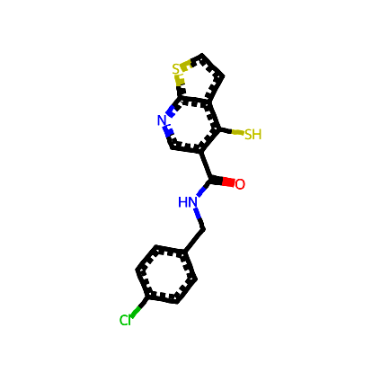 O=C(NCc1ccc(Cl)cc1)c1cnc2sccc2c1S